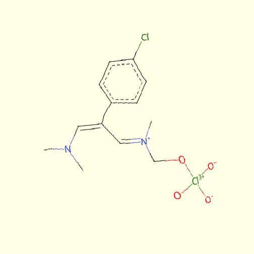 CN(C)C=C(C=[N+](C)CO[Cl+3]([O-])([O-])[O-])c1ccc(Cl)cc1